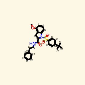 COc1cccc2c1CC(C(=O)NCCc1ccccc1)N2S(=O)(=O)c1ccc(C(C)(C)C)cc1